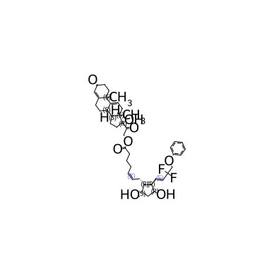 C[C@]12CCC(=O)C=C1CC[C@@H]1C2=CC[C@@]2(C)[C@H]1CC[C@]2(O)C(=O)COC(=O)CCC/C=C\C[C@@H]1[C@@H](/C=C/C(F)(F)COc2ccccc2)[C@H](O)C[C@@H]1O